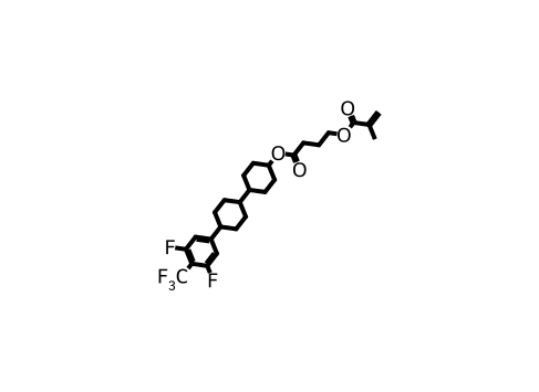 C=C(C)C(=O)OCCCC(=O)OC1CCC(C2CCC(c3cc(F)c(C(F)(F)F)c(F)c3)CC2)CC1